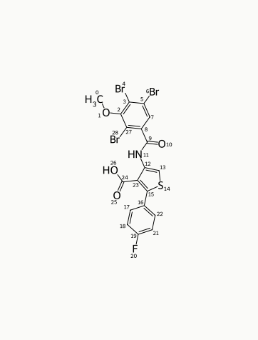 COc1c(Br)c(Br)cc(C(=O)Nc2csc(-c3ccc(F)cc3)c2C(=O)O)c1Br